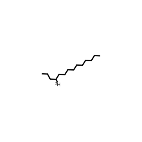 [2H]C(CCC)CCCCCCCCCC